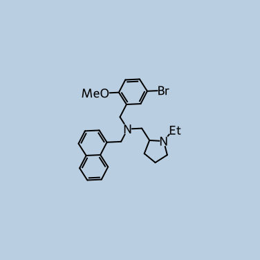 CCN1CCCC1CN(Cc1cc(Br)ccc1OC)Cc1cccc2ccccc12